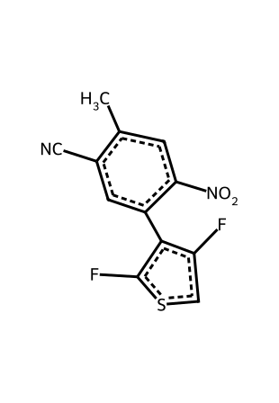 Cc1cc([N+](=O)[O-])c(-c2c(F)csc2F)cc1C#N